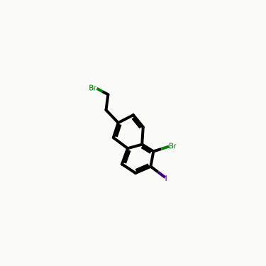 BrCCc1ccc2c(Br)c(I)ccc2c1